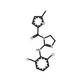 Cc1ccc(C(=O)N2CCN=C2Nc2c(Cl)cccc2Cl)o1